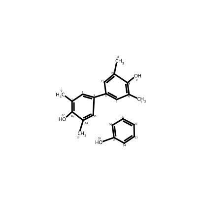 Cc1cc(-c2cc(C)c(O)c(C)c2)cc(C)c1O.Oc1ccccc1